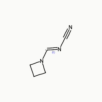 N#C/N=[C]/N1CCC1